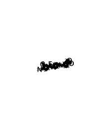 COc1cc(C(F)CN2CCN(CCc3ccc4c(c3)COC4=O)CC2)ccc1C#N